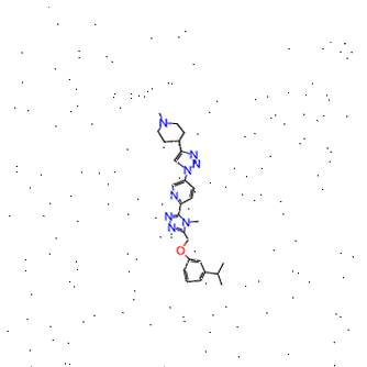 CC(C)c1cccc(OCc2nnc(-c3ccc(-n4cc(C5CCN(C)CC5)nn4)cn3)n2C)c1